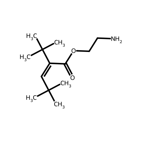 CC(C)(C)C=C(C(=O)OCCN)C(C)(C)C